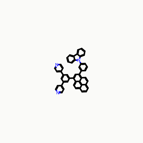 c1cc(-c2cc(-c3cc(-c4ccncc4)cc(-c4ccncc4)c3)c3ccc4cccc5ccc2c3c45)cc(-n2c3ccccc3c3ccccc32)c1